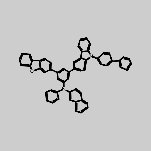 c1ccc(-c2ccc(-n3c4ccccc4c4cc(-c5cc(-c6ccc7c(c6)oc6ccccc67)cc(N(c6ccccc6)c6ccc7ccccc7c6)c5)ccc43)cc2)cc1